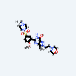 CCCOc1ccc(S(=O)(=O)N2CCN(C)CC2)cc1-c1nc2c(CCC)n(CCN3CCOCC3)nc2c(=O)[nH]1